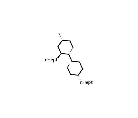 CCCCCCC[C@H]1C[C@H](C)CC[C@@H]1[C@H]1CC[C@@H](CCCCCCC)CC1